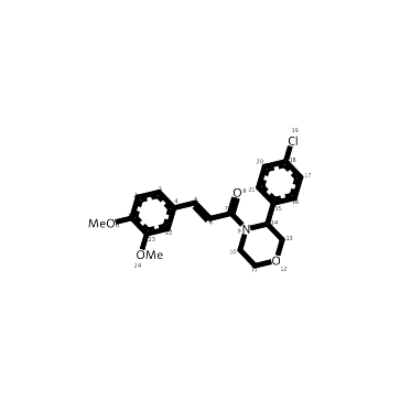 COc1ccc(C=CC(=O)N2CCOCC2c2ccc(Cl)cc2)cc1OC